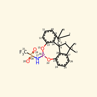 CC1(C)CC23CC(C)(C)c4cccc(c42)OP(NS(=O)(=O)C(F)(F)F)Oc2cccc1c23